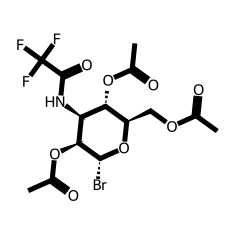 CC(=O)OC[C@H]1O[C@H](Br)[C@@H](OC(C)=O)[C@@H](NC(=O)C(F)(F)F)[C@@H]1OC(C)=O